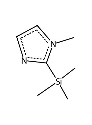 Cn1ccnc1[Si](C)(C)C